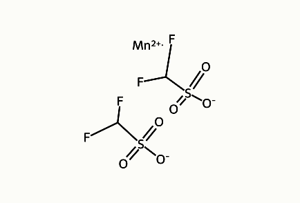 O=S(=O)([O-])C(F)F.O=S(=O)([O-])C(F)F.[Mn+2]